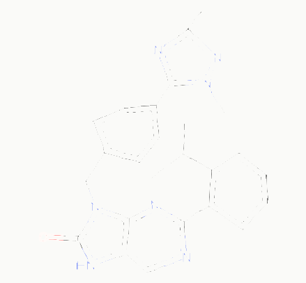 Cc1nc(-c2ccc(Cn3c(=O)[nH]c4cnc(-c5ccccc5C(C)C)nc43)cc2)n(C)n1